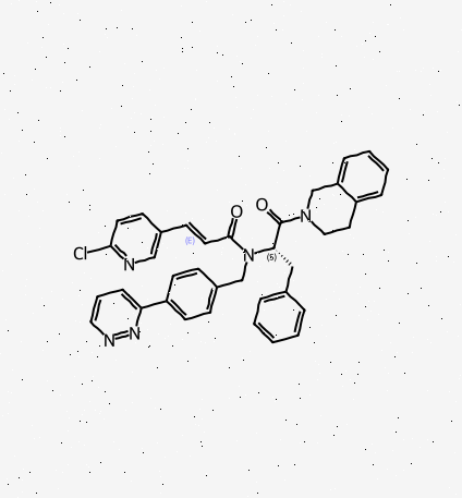 O=C([C@H](Cc1ccccc1)N(Cc1ccc(-c2cccnn2)cc1)C(=O)/C=C/c1ccc(Cl)nc1)N1CCc2ccccc2C1